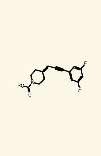 O=C(O)N1CCC(=CC#Cc2cc(F)cc(F)c2)CC1